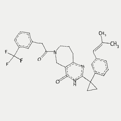 CC(C)=Cc1cccc(C2(c3nc4c(c(=O)[nH]3)CN(C(=O)Cc3cccc(C(F)(F)F)c3)CCC4)CC2)c1